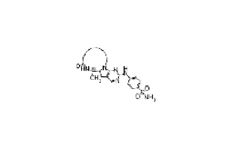 C[C@H]1NC(=O)CCCCCCCn2c1cc1cnc(Nc3ccc(S(N)(=O)=O)cc3)nc12